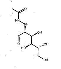 CC(=O)NN[C@H](C=O)[C@@H](O)[C@H](O)[C@H](O)CO